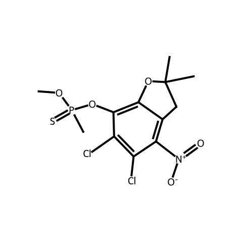 COP(C)(=S)Oc1c(Cl)c(Cl)c([N+](=O)[O-])c2c1OC(C)(C)C2